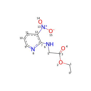 CCOC(=O)CNc1ncccc1[N+](=O)[O-]